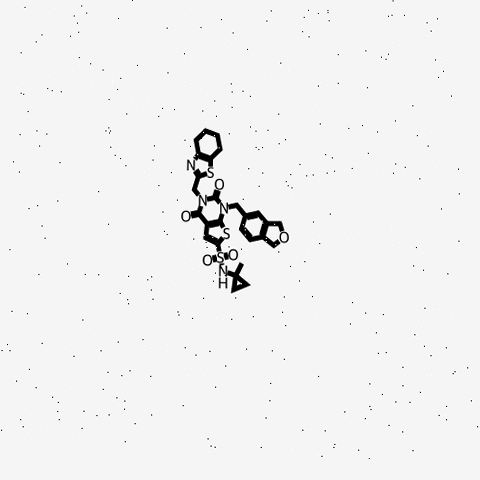 CC1(NS(=O)(=O)c2cc3c(=O)n(Cc4nc5c(s4)CCCC5)c(=O)n(Cc4ccc5c(c4)COC5)c3s2)CC1